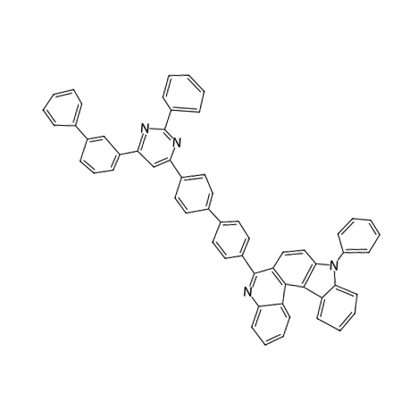 c1ccc(-c2cccc(-c3cc(-c4ccc(-c5ccc(-c6nc7ccccc7c7c6ccc6c7c7ccccc7n6-c6ccccc6)cc5)cc4)nc(-c4ccccc4)n3)c2)cc1